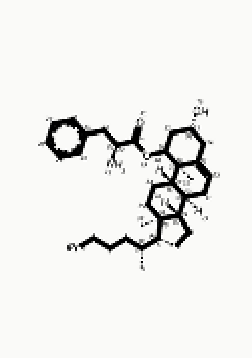 CC(C)CCC[C@@H](C)[C@H]1CC[C@H]2[C@@H]3CC=C4C[C@@H](O)CC(OC(=O)[C@@H](N)Cc5ccccc5)[C@]4(C)[C@H]3CC[C@]12C